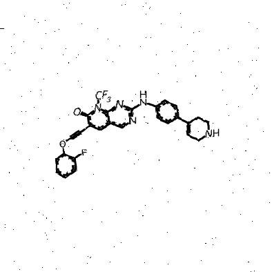 O=c1c(C#COc2ccccc2F)cc2cnc(Nc3ccc(C4=CCNCC4)cc3)nc2n1C(F)(F)F